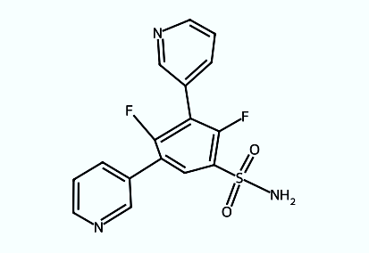 NS(=O)(=O)c1cc(-c2cccnc2)c(F)c(-c2cccnc2)c1F